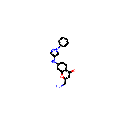 NCc1cc(=O)c2ccc(Nc3cnn(-c4ccccc4)c3)cc2o1